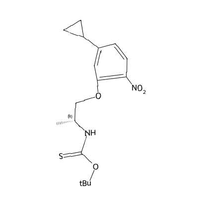 C[C@H](COc1cc(C2CC2)ccc1[N+](=O)[O-])NC(=S)OC(C)(C)C